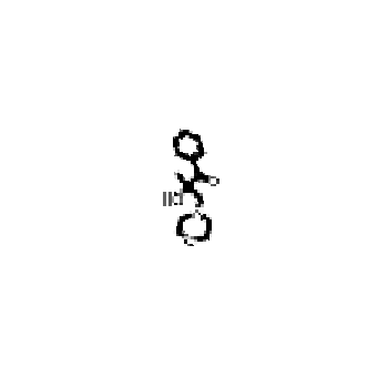 CC(O)(CN1CCOCC1)C(=O)c1ccccc1